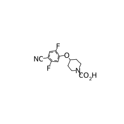 N#Cc1cc(F)c(OC2CCN(C(=O)O)CC2)cc1F